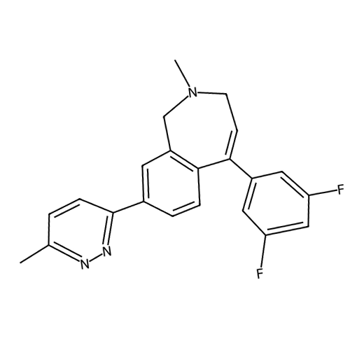 Cc1ccc(-c2ccc3c(c2)CN(C)CC=C3c2cc(F)cc(F)c2)nn1